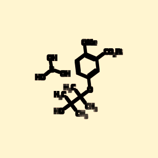 CCOC(=O)c1cc(OC(C)(C)C(C)(C)O)ccc1OC.OB(O)O